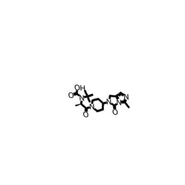 Cc1ncc2n1C(=O)N(C1CCN(C(=O)[C@@H](C)N(C(=O)O)C(C)(C)C)CC1)C2